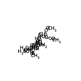 BOC(=O)C1=C(C[N+]2(C)C[C@H]3CN(C(=O)c4ccc(OCc5ccc(OC)cc5)c(OCc5ccc(OC)cc5)c4Cl)C[C@H]3C2)C[S+]([O-])[C@@H]2[C@H](NC(=O)/C(=N\O[C@H](C)C(=O)OB)c3csc(C)n3)C(=O)N12